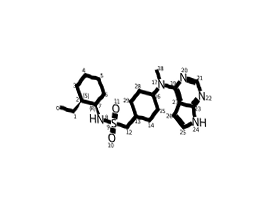 CC[C@H]1CCCC[C@H]1NS(=O)(=O)CC1CCC(N(C)c2ncnc3[nH]ccc23)CC1